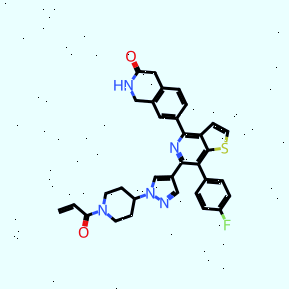 C=CC(=O)N1CCC(n2cc(-c3nc(-c4ccc5c(c4)CNC(=O)C5)c4ccsc4c3-c3ccc(F)cc3)cn2)CC1